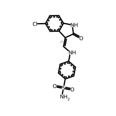 NS(=O)(=O)c1ccc(N/C=C2\C(=O)Nc3ccc(Cl)cc32)cc1